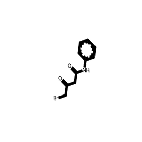 O=C(CBr)CC(=O)Nc1ccccc1